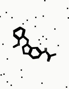 COc1c[c]ccc1CC1CCc2ccc(NC(C)=O)cc21